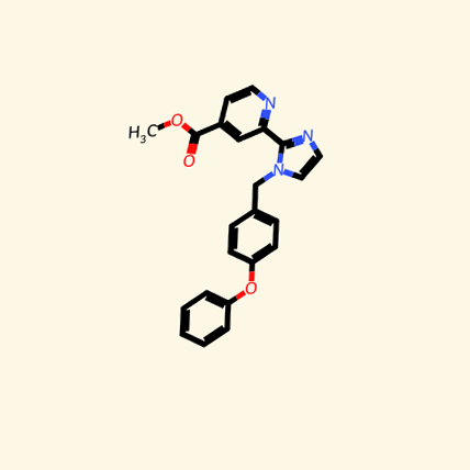 COC(=O)c1ccnc(-c2nccn2Cc2ccc(Oc3ccccc3)cc2)c1